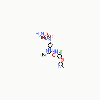 Cc1cc(Oc2ccc(NC(=O)Nc3cc(C(C)(C)C)nn3-c3ccc(CNC(=O)C(C)(OC(N)=O)C(C)(C)C)cc3)c(F)c2)ccn1